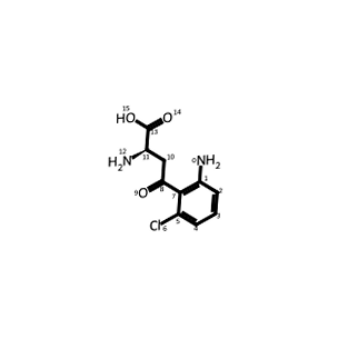 Nc1cccc(Cl)c1C(=O)C[C@@H](N)C(=O)O